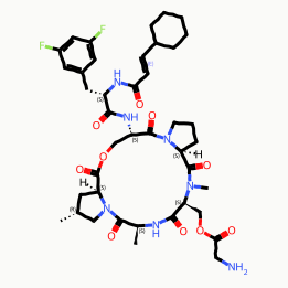 C[C@@H]1C[C@H]2C(=O)OC[C@H](NC(=O)[C@H](Cc3cc(F)cc(F)c3)NC(=O)/C=C/C3CCCCC3)C(=O)N3CCC[C@H]3C(=O)N(C)[C@@H](COC(=O)CN)C(=O)N[C@@H](C)C(=O)N2C1